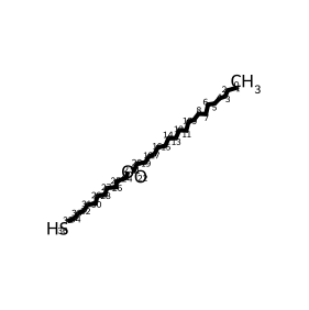 CCCCCCCCCCCCCCCCCCCCCC(=O)OCCCCCCCCCCCCS